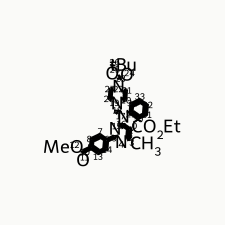 CCOC(=O)c1c(C)nc(-c2ccc(C(=O)OC)cc2)nc1N(CN1CCN(C(=O)OC(C)(C)C)CC1)c1ccccc1